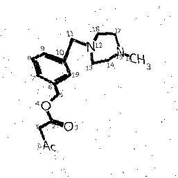 CC(=O)CC(=O)OCc1cccc(CN2CCN(C)CC2)c1